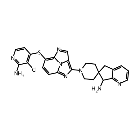 Nc1nccc(Sc2ccc3nc(N4CCC5(CC4)Cc4cccnc4C5N)c4cnc2n34)c1Cl